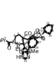 CCCC(=O)N1CC[C@](CCCS(=O)(=O)c2ccccc2)(C(=O)O)[C@](C(=O)NC)(c2ccccc2-c2c[nH]cn2)N1CC